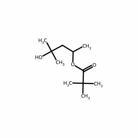 CC(CC(C)(C)O)OC(=O)C(C)(C)C